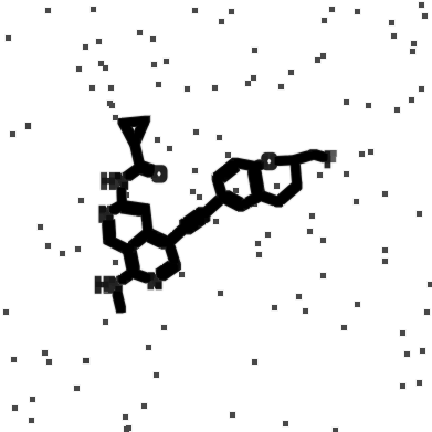 CNc1ncc(C#Cc2ccc3c(c2)CCC(CF)O3)c2cc(NC(=O)C3CC3)ncc12